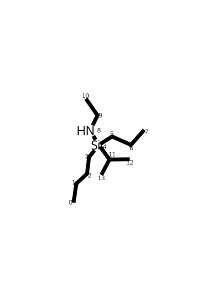 CCCC[Si](CCC)(NCC)C(C)C